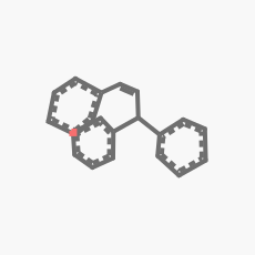 C(=C/C(c1ccccc1)c1ccccc1)/c1ccccc1